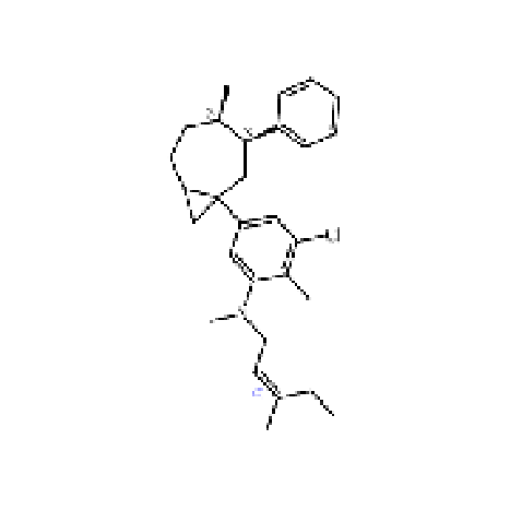 CC/C(C)=C\CN(C)c1cc(C23CC2CC[C@@H](C)[C@@H](c2ccccc2)C3)cc(Cl)c1C